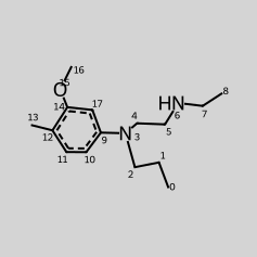 CCCN(CCNCC)c1ccc(C)c(OC)c1